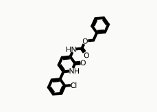 O=C(Nc1ccc(-c2ccccc2Cl)[nH]c1=O)OCc1ccccc1